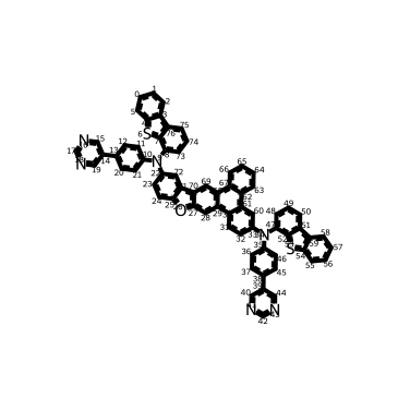 c1ccc2c(c1)sc1c(N(c3ccc(-c4cncnc4)cc3)c3ccc4oc5cc6c7ccc(N(c8ccc(-c9cncnc9)cc8)c8cccc9c8sc8ccccc89)cc7c7ccccc7c6cc5c4c3)cccc12